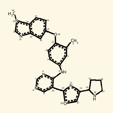 Cc1cc(Nc2ncncc2-c2nc(C3CCCN3)co2)ccc1Oc1ccc2c(c1)ncn2C